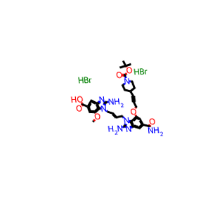 Br.Br.COc1cc(C(=O)O)cc2nc(N)n(C/C=C/Cn3c(N)nc4cc(C(N)=O)cc(OCC#CC5CCN(C(=O)OC(C)(C)C)CC5)c43)c12